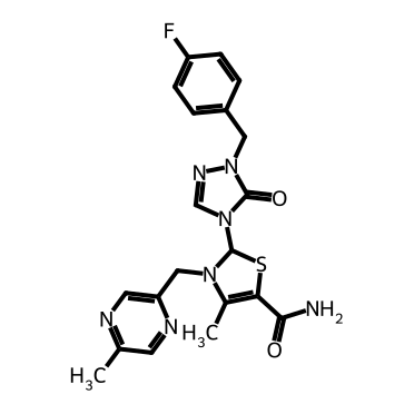 CC1=C(C(N)=O)SC(n2cnn(Cc3ccc(F)cc3)c2=O)N1Cc1cnc(C)cn1